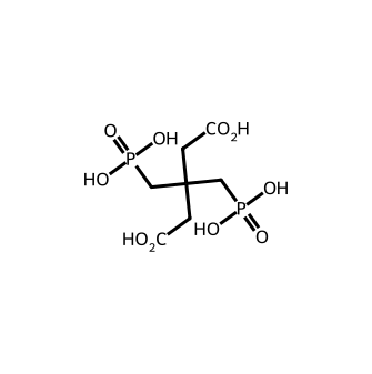 O=C(O)CC(CC(=O)O)(CP(=O)(O)O)CP(=O)(O)O